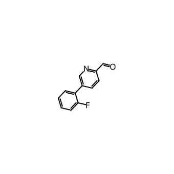 O=Cc1ccc(-c2ccccc2F)cn1